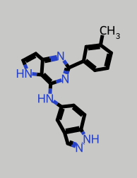 Cc1cccc(-c2nc(Nc3ccc4[nH]ncc4c3)c3[nH]ccc3n2)c1